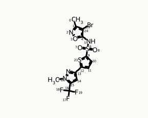 Cc1noc(NS(=O)(=O)c2ccc(-c3cc(C(F)(F)F)n(C)n3)s2)c1Br